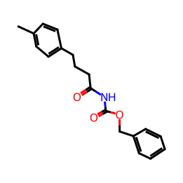 Cc1ccc(CCCC(=O)NC(=O)OCc2ccccc2)cc1